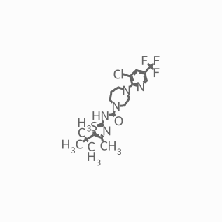 Cc1nc(NC(=O)N2CCCN(c3ncc(C(F)(F)F)cc3Cl)CC2)sc1C(C)(C)C